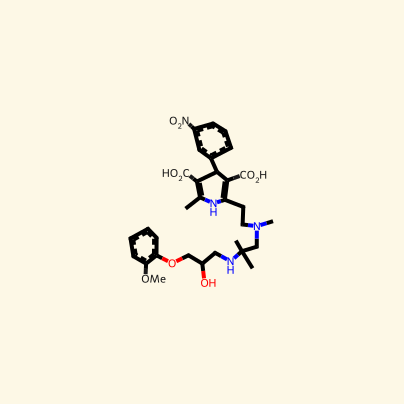 COc1ccccc1OCC(O)CNC(C)(C)CN(C)CCC1=C(C(=O)O)C(c2cccc([N+](=O)[O-])c2)C(C(=O)O)=C(C)N1